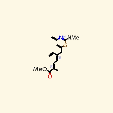 C=C/N=C(/NC)SC(=C)C/C(C=C)=C/C=C(\C)C(=O)OC